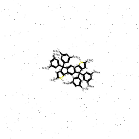 CCCCCCc1cc(CCCCCC)cc(C2(c3cc(CCCCCC)cc(CCCCCC)c3)c3cc4c(cc3-c3sc(C=O)cc32)C(c2cc(CCCCCC)cc(CCCCCC)c2)(c2cc(CCCCCC)cc(CCCCCC)c2)c2cc(C=O)sc2-4)c1